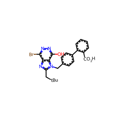 CC(C)(C)Cc1nc2c(Br)nnc(O)c2n1Cc1ccc(-c2ccccc2C(=O)O)cc1